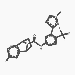 Cn1ccc(-c2cc(NC(=O)N3C4CCC3c3ncc(F)cc34)ccc2C(F)(F)F)n1